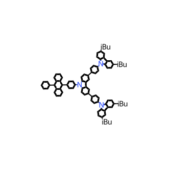 CCC(C)c1ccc2c(c1)c1cc(C(C)CC)ccc1n2-c1ccc(-c2ccc3c(c2)c2cc(-c4ccc(-n5c6ccc(C(C)CC)cc6c6cc(C(C)CC)ccc65)cc4)ccc2n3-c2ccc(-c3c4ccccc4c(-c4ccccc4)c4ccccc34)cc2)cc1